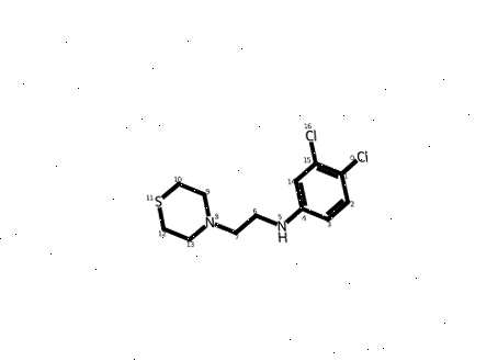 Clc1ccc(NCCN2CCSCC2)cc1Cl